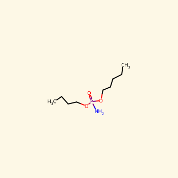 CCCCCOP(N)(=O)OCCCC